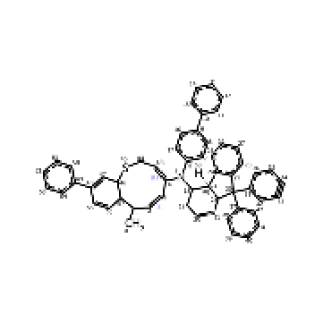 CC1/C=C\C(N(c2ccc(-c3ccccc3)cc2)C2CC=CC3[C@@H]2c2ccccc2C3(c2cc#ccc2)c2ccccc2)=C/CSC2C=C(c3ccccc3)C=CC12